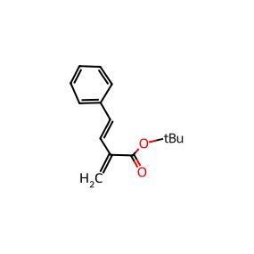 C=C(C=Cc1ccccc1)C(=O)OC(C)(C)C